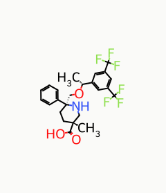 C[C@@H](OC[C@@]1(c2ccccc2)CC[C@@](C)(C(=O)O)CN1)c1cc(C(F)(F)F)cc(C(F)(F)F)c1